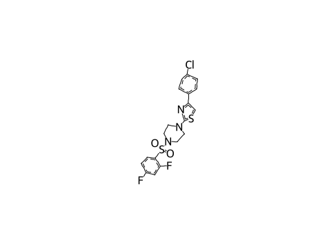 O=S(=O)(c1ccc(F)cc1F)N1CCN(c2nc(-c3ccc(Cl)cc3)cs2)CC1